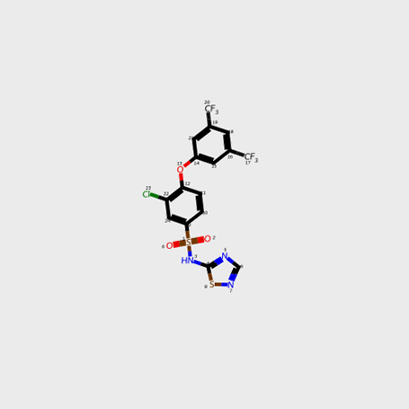 O=S(=O)(Nc1ncns1)c1ccc(Oc2cc(C(F)(F)F)cc(C(F)(F)F)c2)c(Cl)c1